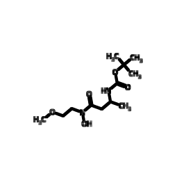 COCCN(O)C(=O)CC(C)NC(=O)OC(C)(C)C